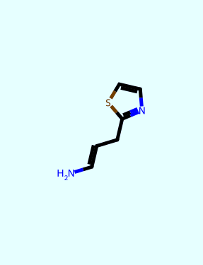 NC=CCc1nccs1